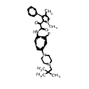 Cc1cn(C)c(C(=O)C(=O)Nc2ccc(N3CCN(CC(C)(C)C)CC3)cc2F)c1-c1ccccc1